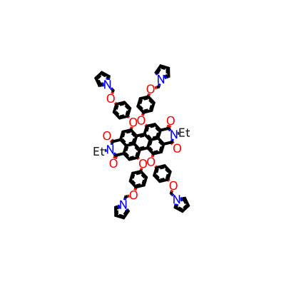 CCN1C(=O)c2cc(Oc3ccc(OCn4cccc4)cc3)c3c4c(Oc5ccc(OCn6cccc6)cc5)cc5c6c(cc(Oc7ccc(OCn8cccc8)cc7)c(c7c(Oc8ccc(OCn9cccc9)cc8)cc(c2c37)C1=O)c64)C(=O)N(CC)C5=O